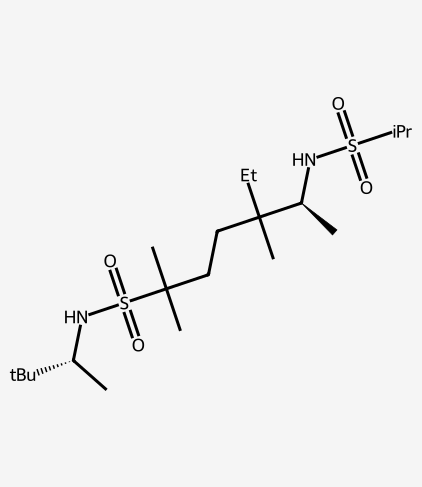 CCC(C)(CCC(C)(C)S(=O)(=O)N[C@H](C)C(C)(C)C)[C@H](C)NS(=O)(=O)C(C)C